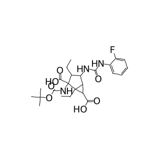 CCC1C(NC(=O)Nc2ccccc2F)C2C(C(=O)O)C2(CC)C1(NC(=O)OC(C)(C)C)C(=O)O